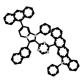 C1=C(c2c3ccccc3cc3ccccc23)C=C2N(C1)C(c1ccc3ccccc3c1)=C(c1ncnc(-c3c4ccccc4cc4cc5c6ccccc6n(-c6ccccc6)c5cc34)n1)N2c1ccccc1